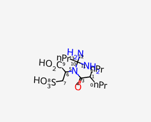 CCCC(CCC)C(=O)N(C(CS(=O)(=O)O)C(=O)O)C(N)(N)CCC